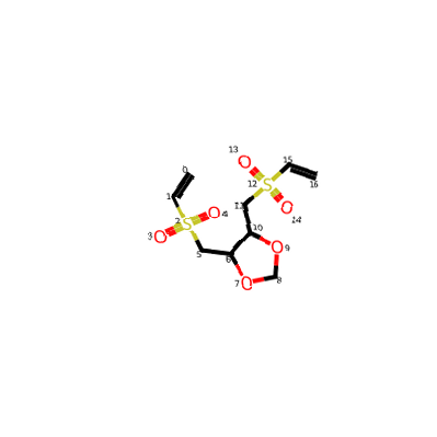 C=CS(=O)(=O)CC1OCOC1CS(=O)(=O)C=C